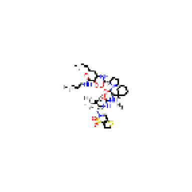 C=CCNC(=O)C(=O)C(CCCC)NC(=O)[C@@H]1CCCN1C(=O)[C@@H](NC(=O)N[C@H](CN1Cc2sccc2S1(=O)=O)C(C)(C)C)C1(C)CCCCC1